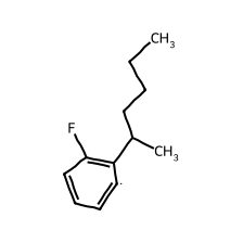 CCCCC(C)c1[c]cccc1F